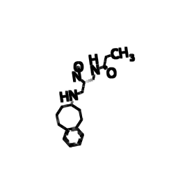 CCC(=O)NC[C@H](CN[C@H]1CCCc2ccccc2CC1)N=O